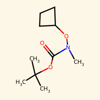 CN(OC1CCC1)C(=O)OC(C)(C)C